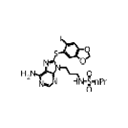 CCCS(=O)(=O)NCCCn1c(Sc2cc3c(cc2I)OCO3)nc2c(N)ncnc21